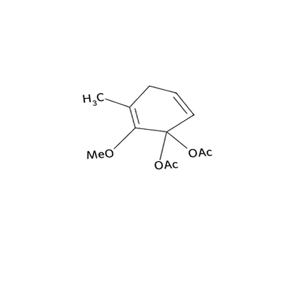 COC1=C(C)CC=CC1(OC(C)=O)OC(C)=O